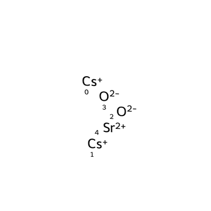 [Cs+].[Cs+].[O-2].[O-2].[Sr+2]